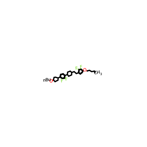 C=CCCCOc1ccc(CCC2CCC(c3ccc(C4CCC(OCCCC)CC4)c(F)c3F)CC2)c(F)c1F